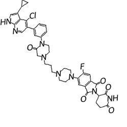 O=C1CCC(N2C(=O)c3cc(F)c(N4CCN(CCCN5CCN(c6cccc(-c7cnc8[nH]cc(C9CC9)c8c7Cl)c6)C(=O)C5)CC4)cc3C2=O)C(=O)N1